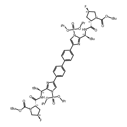 CC(C)OP(=O)(OC(C)C)n1cc(-c2ccc(-c3ccc(-c4cn(P(=O)(OC(C)C)OC(C)C)c([C@@H](NC(=O)[C@@H]5C[C@@H](F)CN5C(=O)OC(C)(C)C)C(C)(C)C)n4)cc3)cc2)nc1[C@@H](NC(=O)[C@@H]1C[C@@H](F)CN1C(=O)OC(C)(C)C)C(C)(C)C